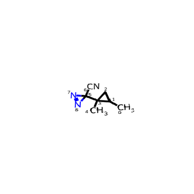 CC1CC1(C)C1(C#N)N=N1